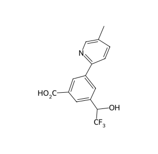 Cc1ccc(-c2cc(C(=O)O)cc(C(O)C(F)(F)F)c2)nc1